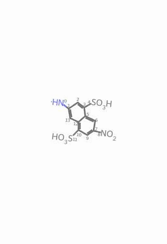 [NH]c1cc(S(=O)(=O)O)c2cc([N+](=O)[O-])cc(S(=O)(=O)O)c2c1